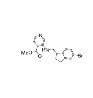 COC(=O)c1ccncc1NC[C@@H]1CCc2cc(Br)ccc21